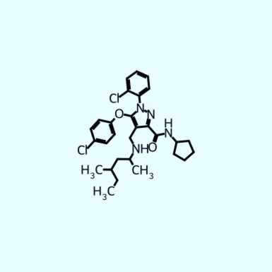 CCC(C)CC(C)NCc1c(C(=O)NC2CCCC2)nn(-c2ccccc2Cl)c1Oc1ccc(Cl)cc1